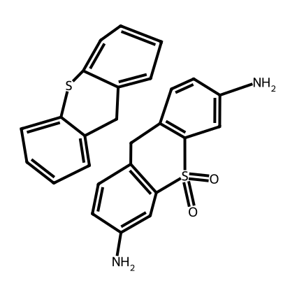 Nc1ccc2c(c1)S(=O)(=O)c1cc(N)ccc1C2.c1ccc2c(c1)Cc1ccccc1S2